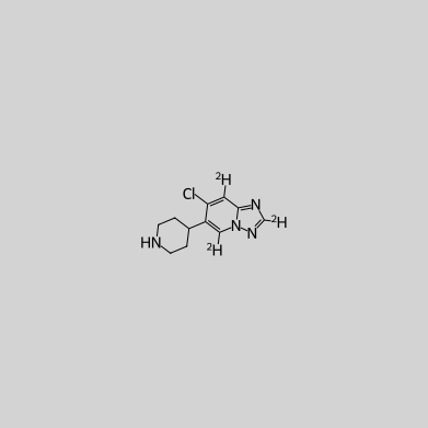 [2H]c1nc2c([2H])c(Cl)c(C3CCNCC3)c([2H])n2n1